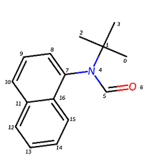 CC(C)(C)N(C=O)c1cccc2ccccc12